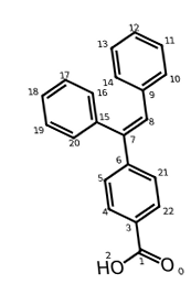 O=C(O)c1ccc(C(=Cc2ccccc2)c2ccccc2)cc1